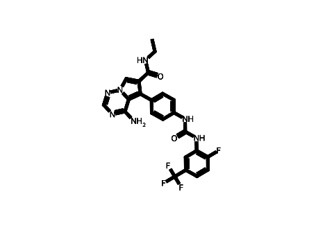 CCNC(=O)c1cn2ncnc(N)c2c1-c1ccc(NC(=O)Nc2cc(C(F)(F)F)ccc2F)cc1